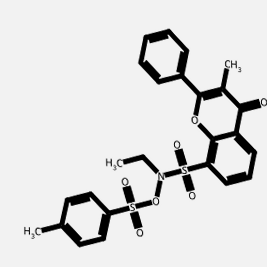 CCN(OS(=O)(=O)c1ccc(C)cc1)S(=O)(=O)c1cccc2c(=O)c(C)c(-c3ccccc3)oc12